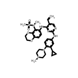 C=Cc1cnc(Nc2ccc(N3CCN(C)CC3)c(C3CC3)c2)nc1Nc1ccc2c(c1N(C)S(C)(=O)=O)OCCO2